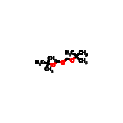 CC(C)(C)OCOCOC(C)(C)C